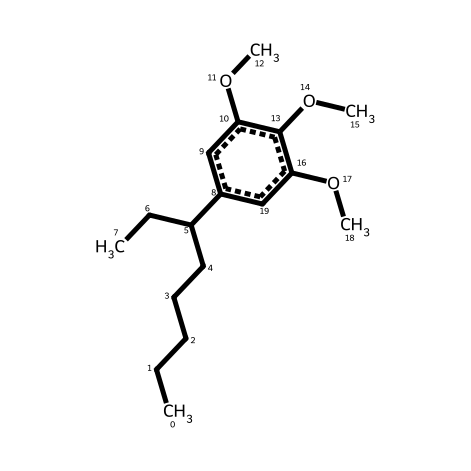 CCCCCC(CC)c1cc(OC)c(OC)c(OC)c1